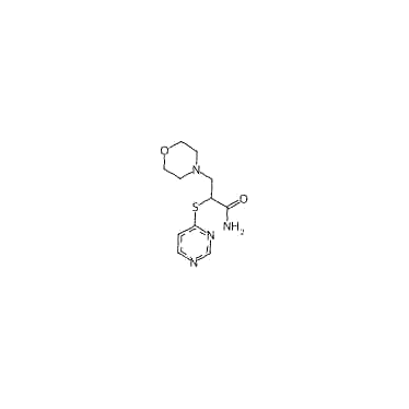 NC(=O)C(CN1CCOCC1)Sc1ccncn1